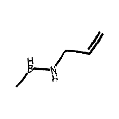 C=CCNBC